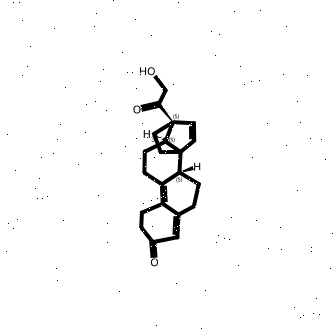 C[C@]12CCC3=C4CCC(=O)C=C4CC[C@H]3C13C=C[C@@]2(C(=O)CO)CC3